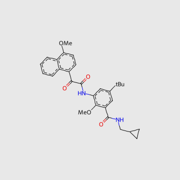 COc1c(NC(=O)C(=O)c2ccc(OC)c3ccccc23)cc(C(C)(C)C)cc1C(=O)NCC1CC1